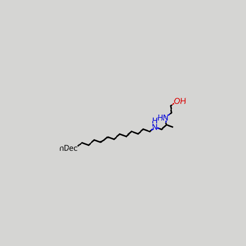 CCCCCCCCCCCCCCCCCCCCCCNCC(C)NCCO